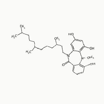 CC(C)CCCC(C)CCCC(C)CCN1C(=O)c2cccc(O)c2N(C)c2c(O)cc(O)cc21